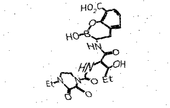 CCC(O)C(NC(=O)N1CCN(CC)C(=O)C1=O)C(=O)N[C@H]1Cc2cccc(C(=O)O)c2OB1O